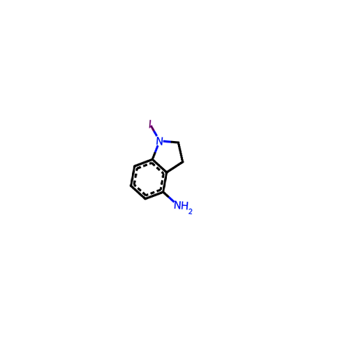 Nc1cccc2c1CCN2I